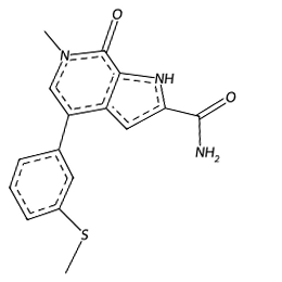 CSc1cccc(-c2cn(C)c(=O)c3[nH]c(C(N)=O)cc23)c1